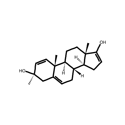 C[C@]1(O)C=C[C@@]2(C)C(=CC[C@@H]3[C@@H]2CC[C@]2(C)C(O)=CC[C@@H]32)C1